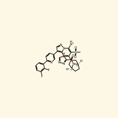 CS(=O)(=O)c1c(C2C[C@H]3CC[C@@H](C2)N3C(=O)c2nnc[nH]2)nc2c(-c3ccc(-c4cccc(F)c4F)nc3)cnn2c1N